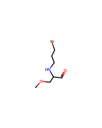 COCC(C=O)NCCCBr